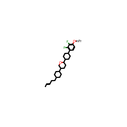 C/C=C/CCC1CCC(C2CCC(C3CCC(c4ccc(OCCC)c(F)c4F)CC3)OC2)CC1